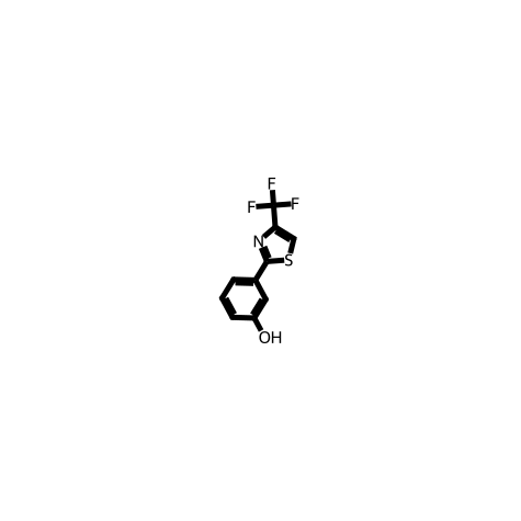 Oc1cccc(-c2nc(C(F)(F)F)cs2)c1